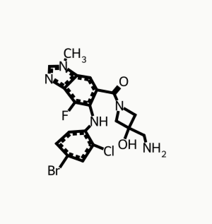 Cn1cnc2c(F)c(Nc3ccc(Br)cc3Cl)c(C(=O)N3CC(O)(CN)C3)cc21